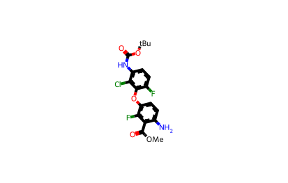 COC(=O)c1c(N)ccc(Oc2c(F)ccc(NC(=O)OC(C)(C)C)c2Cl)c1F